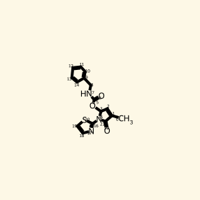 CC1=CC(OC(=O)NCc2ccccc2)N(c2nccs2)C1=O